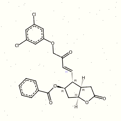 O=C(/C=C/[C@@H]1[C@H]2CC(=O)O[C@H]2C[C@H]1OC(=O)c1ccccc1)COc1cc(Cl)cc(Cl)c1